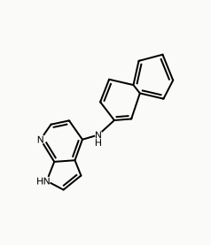 c1ccc2cc(Nc3ccnc4[nH]ccc34)ccc2c1